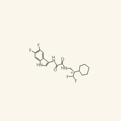 O=C(NC[C@H](C(F)F)C1CCCCC1)C(=O)Nc1c[nH]c2cc(F)c(F)cc12